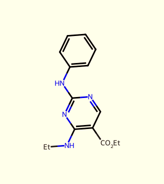 CCNc1nc(Nc2ccccc2)ncc1C(=O)OCC